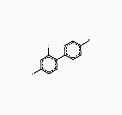 Fc1[c]c(F)c(-c2ccc(F)cn2)cc1